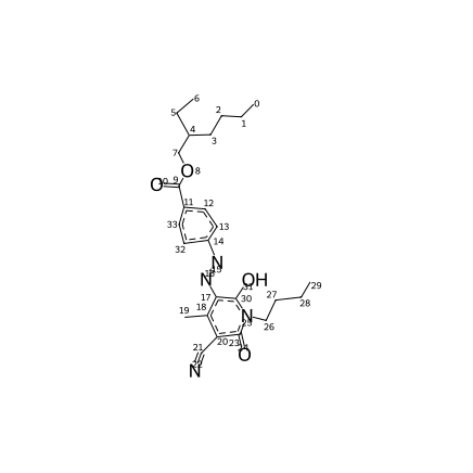 CCCCC(CC)COC(=O)c1ccc(/N=N/c2c(C)c(C#N)c(=O)n(CCCC)c2O)cc1